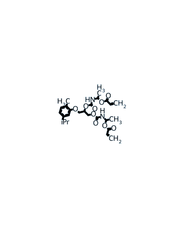 C=CC(=O)OC(C)NC(=O)OCC(COc1cc(C(C)C)ccc1C)OC(=O)NC(C)OC(=O)C=C